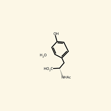 CC(=O)N[C@@H](Cc1ccc(O)cc1)C(=O)O.O